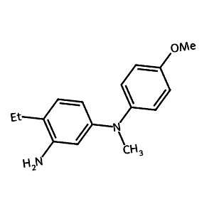 CCc1ccc(N(C)c2ccc(OC)cc2)cc1N